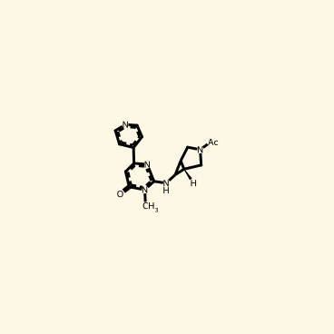 CC(=O)N1CC2C(Nc3nc(-c4ccncc4)cc(=O)n3C)[C@H]2C1